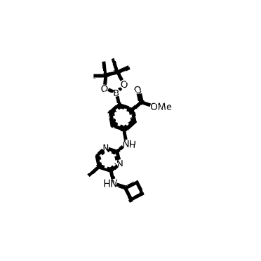 COC(=O)c1cc(Nc2ncc(C)c(NC3CCC3)n2)ccc1B1OC(C)(C)C(C)(C)O1